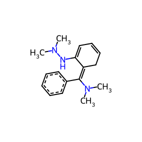 CN(C)NC1=CC=CCC1=C(c1ccccc1)N(C)C